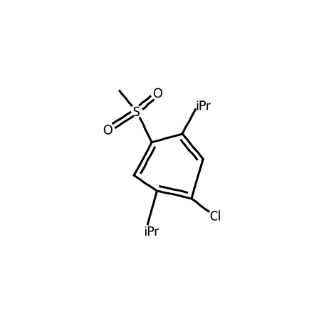 CC(C)c1cc(S(C)(=O)=O)c(C(C)C)cc1Cl